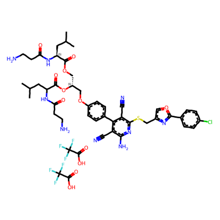 CC(C)CC(NC(=O)CCN)C(=O)O[C@H](COC(=O)[C@H](CC(C)C)NC(=O)CCN)COc1ccc(-c2c(C#N)c(N)nc(SCc3coc(-c4ccc(Cl)cc4)n3)c2C#N)cc1.O=C(O)C(F)(F)F.O=C(O)C(F)(F)F